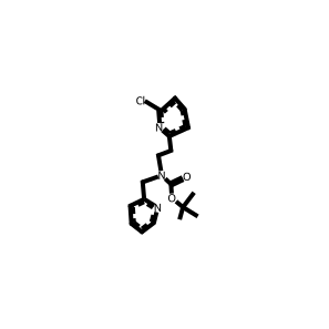 CC(C)(C)OC(=O)N(CCc1cccc(Cl)n1)Cc1ccccn1